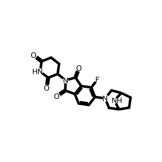 O=C1CCC(N2C(=O)c3ccc(N4CC5CCC(C4)N5)c(F)c3C2=O)C(=O)N1